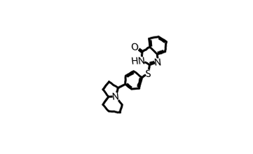 O=c1[nH]c(Sc2ccc(C3CCC4CCCCN43)cc2)nc2ccccc12